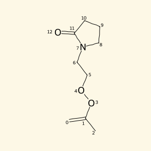 C=C(C)OOCCN1CCCC1=O